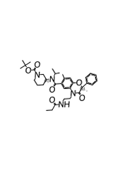 CCC(=O)NCCN1C(=O)[C@](C)(c2ccccc2)Oc2cc(C)c(C(=O)N(C(C)C)[C@@H]3CCCN(C(=O)OC(C)(C)C)C3)cc21